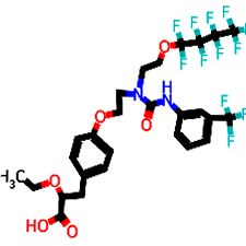 CCOC(Cc1ccc(OCCN(CCOC(F)(F)C(F)(F)C(F)(F)C(F)(F)F)C(=O)Nc2cccc(C(F)(F)F)c2)cc1)C(=O)O